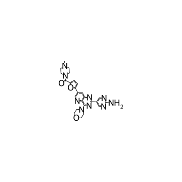 CN1CCN(C(=O)c2ccc(-c3cnc4c(N5CCOCC5)nc(-c5cnc(N)nc5)nc4c3)o2)CC1